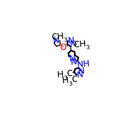 Cc1cc(Nc2cc3cc(-c4c(O[C@H]5CCN(C)C5)cnn4C)ccn3n2)nnc1C